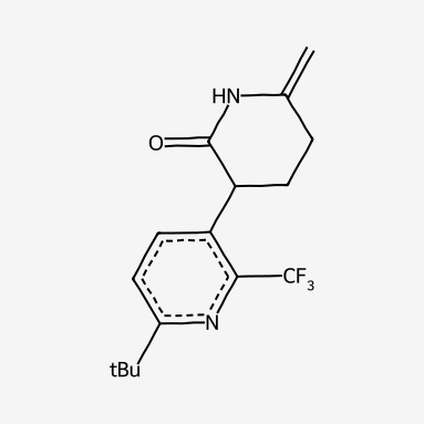 C=C1CCC(c2ccc(C(C)(C)C)nc2C(F)(F)F)C(=O)N1